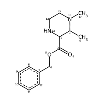 CC1C(C(=O)OCc2ccccc2)NCCN1C